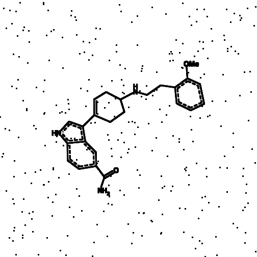 COc1ccccc1CCNC1CC=C(c2c[nH]c3ccc(C(N)=O)cc23)CC1